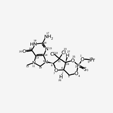 CC(C)OP1(=S)OC[C@H]2O[C@@H](N3CN(C)c4c3nc(N)[nH]c4=O)C(Cl)(Cl)[C@@H]2O1